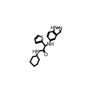 O=C(NC1CCCCC1)C(Nc1ccc2[nH]ncc2c1)c1cccs1